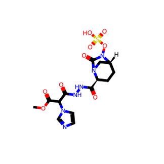 COC(=O)C(C(=O)NNC(=O)[C@@H]1CC[C@@H]2CN1C(=O)N2OS(=O)(=O)O)n1ccnc1